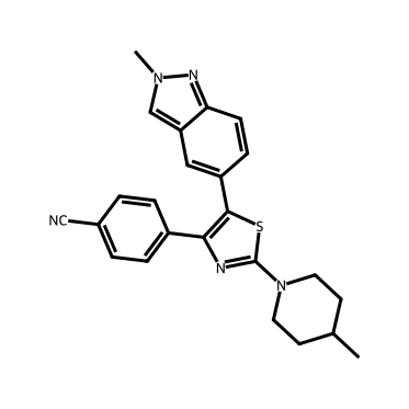 CC1CCN(c2nc(-c3ccc(C#N)cc3)c(-c3ccc4nn(C)cc4c3)s2)CC1